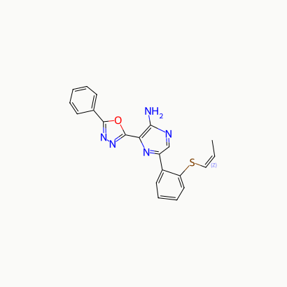 C/C=C\Sc1ccccc1-c1cnc(N)c(-c2nnc(-c3ccccc3)o2)n1